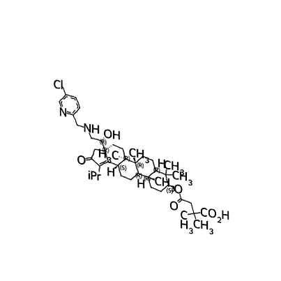 CC(C)C1=C2[C@H]3CC[C@@H]4[C@@]5(C)CC[C@H](OC(=O)CC(C)(C)C(=O)O)C(C)(C)[C@@H]5CC[C@@]4(C)[C@]3(C)CC[C@@]2([C@@H](O)CNCc2ccc(Cl)cn2)CC1=O